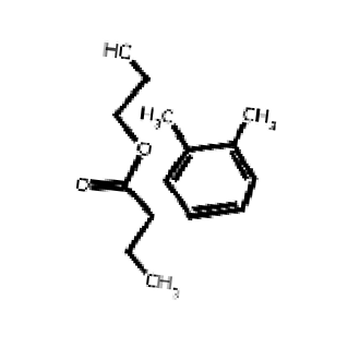 CCCC(=O)OCCO.Cc1ccccc1C